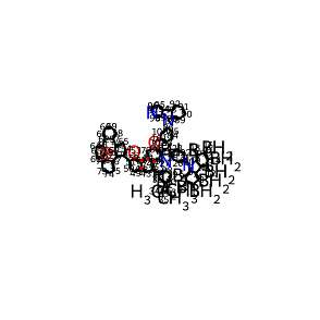 Bc1c(B)c(B)c2c(c1B)c1c(B)c(B)c(B)c(B)c1n2-c1ccc2c(c1)N(c1ccc(C(C)(C)C)cc1-c1ccccc1)c1cc(-c3cccc4c3oc3cc(-c5ccccc5-c5ccccc5)c5oc6ccccc6c5c34)cc3c1B2c1ccc(-n2c4ccccc4c4ccncc42)cc1O3